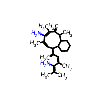 C=C1/C(C)=C(N)\C(C)=C/C(C(=C)/C=C(/C)C(N)=C(C)C)C2CCCCC2C1C